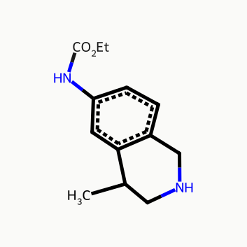 CCOC(=O)Nc1ccc2c(c1)C(C)CNC2